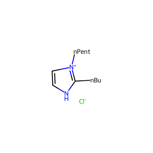 CCCCC[n+]1cc[nH]c1CCCC.[Cl-]